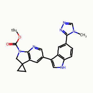 Cn1cnnc1-c1ccc2[nH]cc(-c3cnc4c(c3)C3(CC3)CN4C(=O)OC(C)(C)C)c2c1